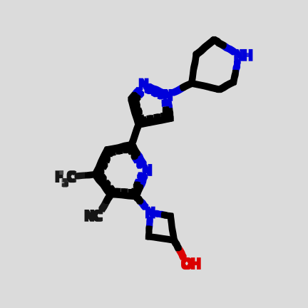 N#Cc1c(C(F)(F)F)cc(-c2cnn(C3CCNCC3)c2)nc1N1CC(O)C1